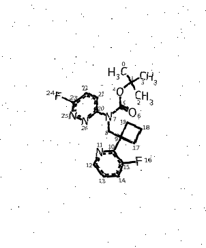 CC(C)(C)OC(=O)N(CC1(c2ncccc2F)CCC1)c1ccc(F)nn1